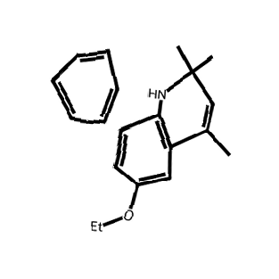 CCOc1ccc2c(c1)C(C)=CC(C)(C)N2.c1ccccc1